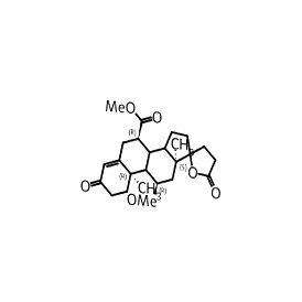 COC(=O)[C@@H]1CC2=CC(=O)CC[C@]2(C)C2C1C1CCC3(CCC(=O)O3)[C@@]1(C)C[C@H]2OC